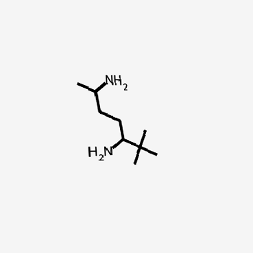 CC(N)CCC(N)C(C)(C)C